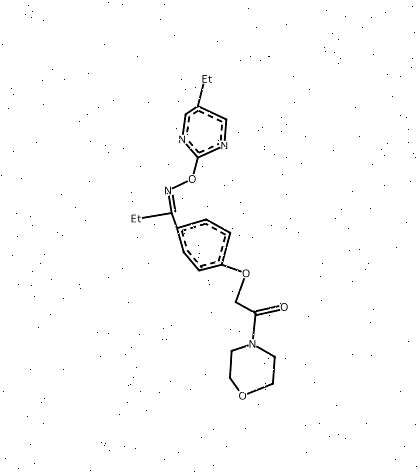 CC/C(=N/Oc1ncc(CC)cn1)c1ccc(OCC(=O)N2CCOCC2)cc1